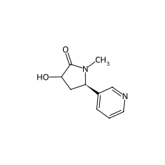 CN1C(=O)C(O)C[C@@H]1c1cccnc1